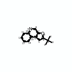 CC(C)(C)c1cc2c(cnc3ccccc32)o1